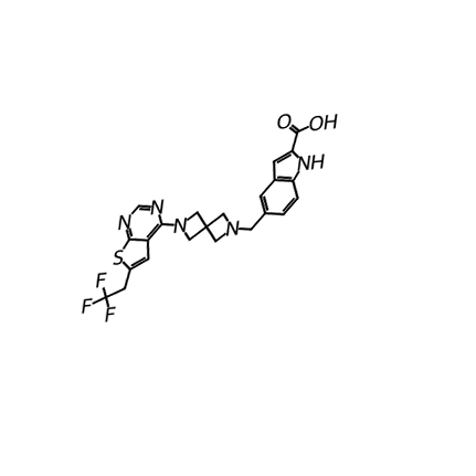 O=C(O)c1cc2cc(CN3CC4(C3)CN(c3ncnc5sc(CC(F)(F)F)cc35)C4)ccc2[nH]1